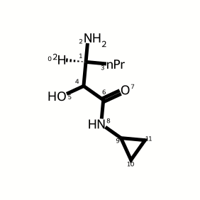 [2H][C@](N)(CCC)C(O)C(=O)NC1CC1